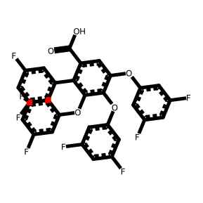 O=C(O)c1cc(Oc2cc(F)cc(F)c2)c(Oc2cc(F)cc(F)c2)c(Oc2cc(F)cc(F)c2)c1-c1cc(F)cc(F)c1